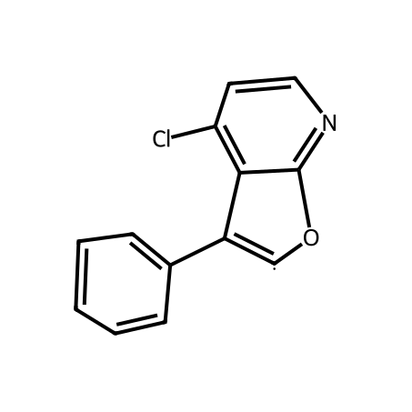 Clc1ccnc2o[c]c(-c3ccccc3)c12